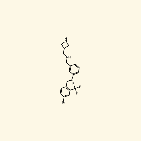 FC(F)(F)c1cc(Br)ccc1COc1cccc(CNCC2CNC2)c1